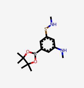 CNSc1cc(NC)cc(B2OC(C)(C)C(C)(C)O2)c1